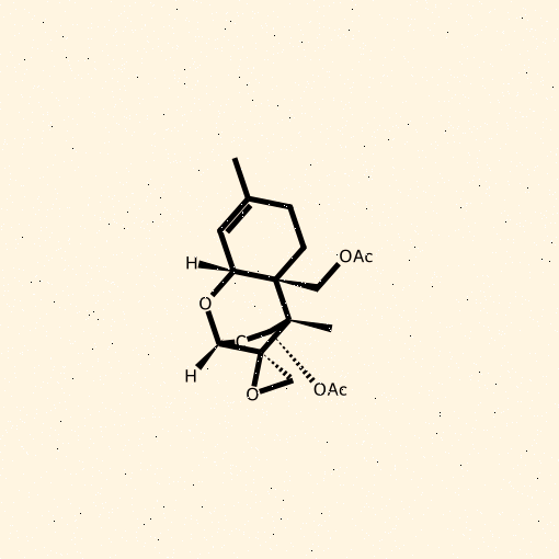 CC(=O)OC[C@]12CCC(C)=C[C@H]1O[C@@H]1C[C@@H](OC(C)=O)[C@@]2(C)[C@]12CO2